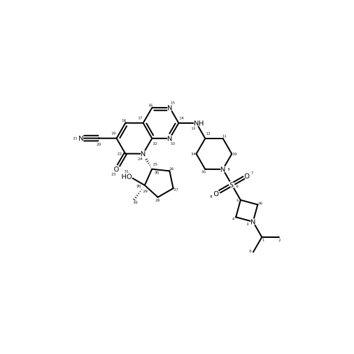 CC(C)N1CC(S(=O)(=O)N2CCC(Nc3ncc4cc(C#N)c(=O)n([C@@H]5CCC[C@@]5(C)O)c4n3)CC2)C1